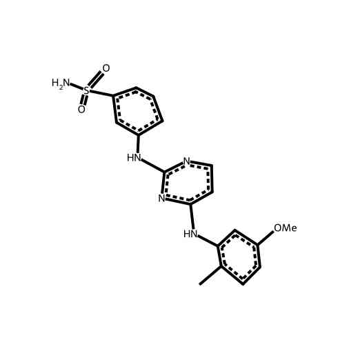 COc1ccc(C)c(Nc2ccnc(Nc3cccc(S(N)(=O)=O)c3)n2)c1